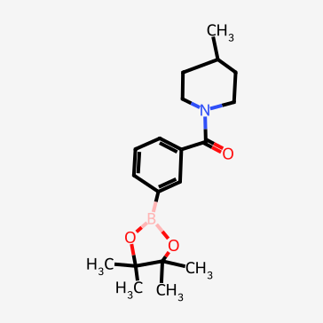 CC1CCN(C(=O)c2cccc(B3OC(C)(C)C(C)(C)O3)c2)CC1